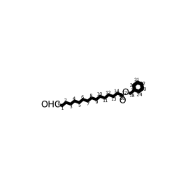 O=CCCCCCCCCCCCCCCC(=O)OCc1ccccc1